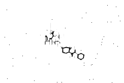 CCCCn1c2c(c(=O)[nH]c1=O)N(CC)C(COc1ccc3c(=O)c(-c4ccccc4)coc3c1)N2